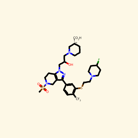 CS(=O)(=O)N1CCc2c(c(-c3ccc(C(F)(F)F)c(SCCN4CCC(F)CC4)c3)nn2CC(O)CN2CCC[C@@H](C(=O)O)C2)C1